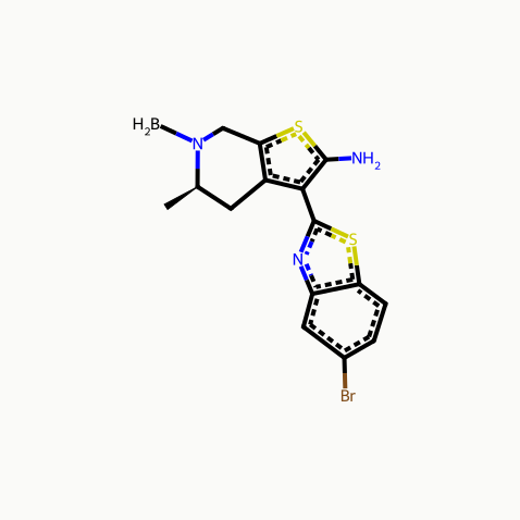 BN1Cc2sc(N)c(-c3nc4cc(Br)ccc4s3)c2C[C@H]1C